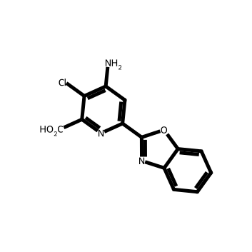 Nc1cc(-c2nc3ccccc3o2)nc(C(=O)O)c1Cl